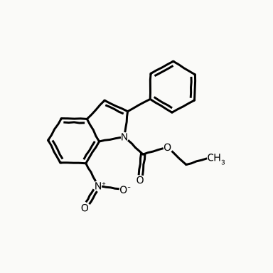 CCOC(=O)n1c(-c2ccccc2)cc2cccc([N+](=O)[O-])c21